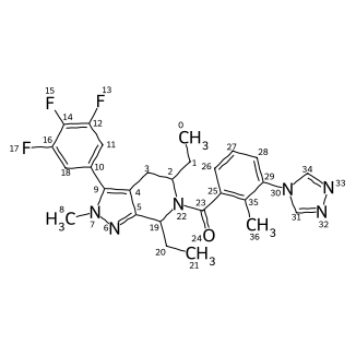 CCC1Cc2c(nn(C)c2-c2cc(F)c(F)c(F)c2)C(CC)N1C(=O)c1cccc(-n2cnnc2)c1C